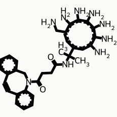 CC(C)(NC(=O)CCC(=O)N1Cc2ccccc2C#Cc2ccccc21)c1cc(N)c(N)c(N)c(N)c(N)c(N)c(CN)c1